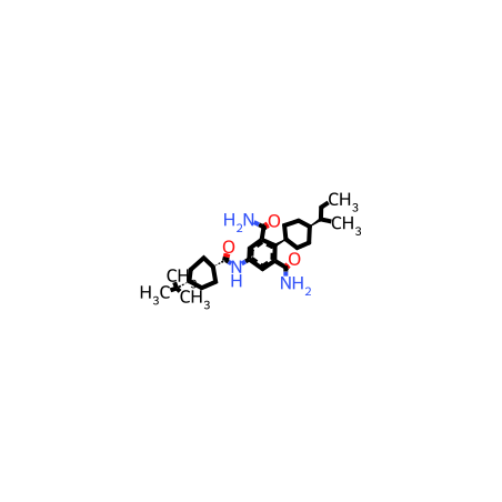 CCC(C)[C@H]1CC[C@@H](c2c(C(N)=O)cc(NC(=O)[C@H]3CC[C@@H](C(C)(C)C)CC3)cc2C(N)=O)CC1